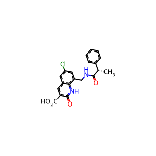 C[C@H](C(=O)NCc1cc(Cl)cc2cc(C(=O)O)c(=O)[nH]c12)c1ccccc1